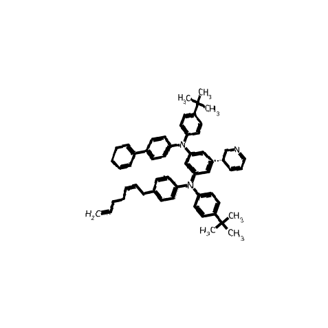 C=CCC/C=C\Cc1ccc(N(c2ccc(C(C)(C)C)cc2)c2cc([C@H]3C=CC=NC3)cc(N(c3ccc(C4=CCCC=C4)cc3)c3ccc(C(C)(C)C)cc3)c2)cc1